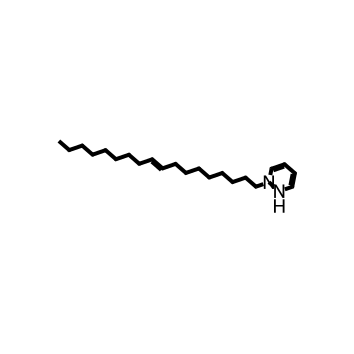 CCCCCCCCC=CCCCCCCCCN1C=CC=CN1